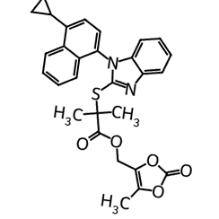 Cc1oc(=O)oc1COC(=O)C(C)(C)Sc1nc2ccccc2n1-c1ccc(C2CC2)c2ccccc12